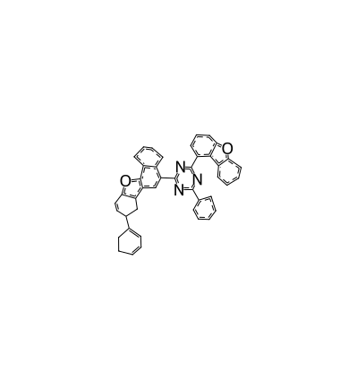 C1=CCCC(C2C=Cc3oc4c(cc(-c5nc(-c6ccccc6)nc(-c6cccc7oc8ccccc8c67)n5)c5ccccc54)c3C2)=C1